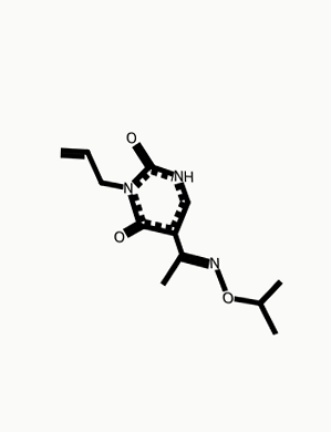 C=CCn1c(=O)[nH]cc(C(C)=NOC(C)C)c1=O